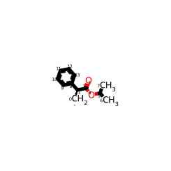 [CH2][C@H](C(=O)OC(C)C)c1ccccc1